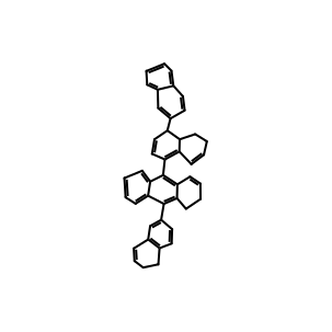 C1=Cc2cc(-c3c4c(c(C5=C6C=CCCC6C(c6ccc7ccccc7c6)C=C5)c5ccccc35)C=CCC4)ccc2CC1